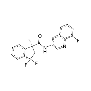 C[C@@](CC(F)(F)F)(C(=O)Nc1cnc2c(F)cccc2c1)c1ccccc1